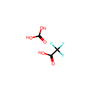 O=C(O)C(F)(F)F.O=C(O)O